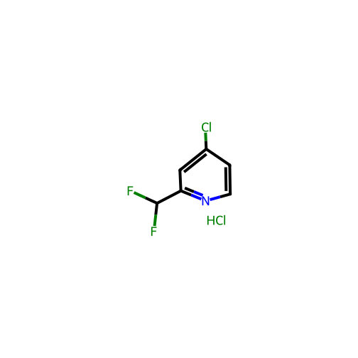 Cl.FC(F)c1cc(Cl)ccn1